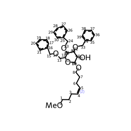 COCCC/C=C\CCCO[C@H]1OC(COCc2ccccc2)[C@@H](OCc2ccccc2)[C@@H](OCc2ccccc2)C1O